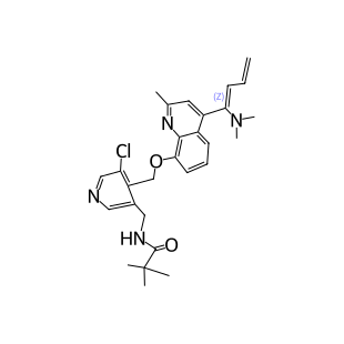 C=C/C=C(/c1cc(C)nc2c(OCc3c(Cl)cncc3CNC(=O)C(C)(C)C)cccc12)N(C)C